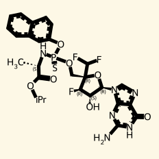 CC(C)OC(=O)[C@H](C)NP(=S)(OC[C@@]1(C(F)F)O[C@@H](n2cnc3c(=O)[nH]c(N)nc32)[C@H](O)[C@H]1F)Oc1ccc2ccccc2c1